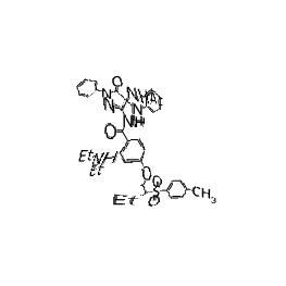 CCC(COc1ccc(C(=O)NC2=NN(c3ccccc3)C(=O)C2(NC(C)=O)Nc2ccccc2)cc1)S(=O)(=O)c1ccc(C)cc1.CCNCC